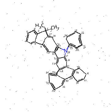 CC1(C)c2ccccc2-c2cc3c4cc5c(cc4n(-c4ccccc4)c3cc21)c1c(c2ccccc25)C=CCC1